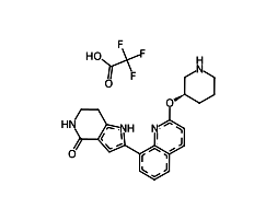 O=C(O)C(F)(F)F.O=C1NCCc2[nH]c(-c3cccc4ccc(O[C@@H]5CCCNC5)nc34)cc21